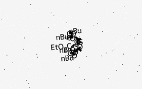 CCCCOP(=O)(OCCCC)OCC(C)OP(=S)(OC(C)COP(=O)(OCCCC)OCCCC)SCCC(=O)OCC